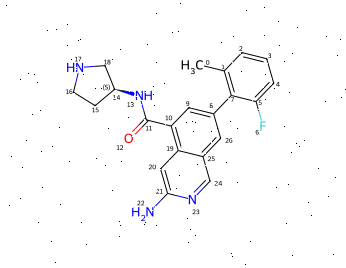 Cc1cccc(F)c1-c1cc(C(=O)N[C@H]2CCNC2)c2cc(N)ncc2c1